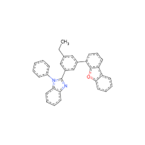 CCc1cc(-c2cccc3c2oc2ccccc23)cc(-c2nc3ccccc3n2-c2ccccc2)c1